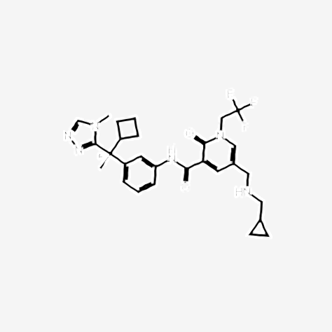 Cn1cnnc1[C@@](C)(c1cccc(NC(=O)c2cc(CNCC3CC3)cn(CC(F)(F)F)c2=O)c1)C1CCC1